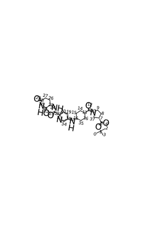 CC(C)(C)OC(=O)[C@@H]1CCN(C(=O)C2CCC(Nc3ccc(C(=O)NC4CCC(=O)NC4=O)nc3)CC2)C1